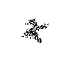 CCN1CCN(C(=O)N[C@@H](C(=O)N[C@]2(OC)C(=O)N3C(C(=O)O)=C(CSc4nnnn4C)CS[C@@H]32)[C@H](C)O)C(=O)C1=O.CO/N=C(\C(=O)N[C@@H]1C(=O)N2C(C(=O)O)=C(C[N+]34CCC(C(=N)[O-])(CC3)CC4)CS[C@H]12)c1nc(=N)s[nH]1